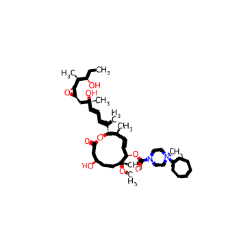 CC[C@H](O)[C@@H](C)[C@H]1O[C@@H]1C[C@@](C)(O)/C=C/C=C(\C)[C@H]1OC(=O)C[C@H](O)CC[C@@](C)(OC)[C@@H](OC(=O)N2CC[N+](C)(C3CCCCCC3)CC2)/C=C/[C@@H]1C